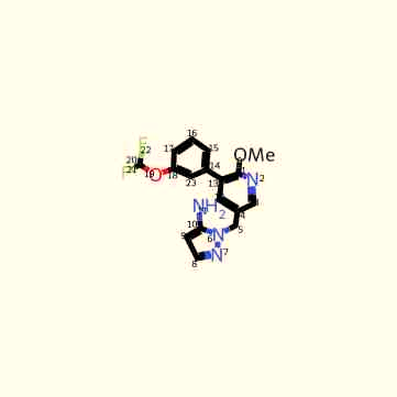 COc1ncc(Cn2nccc2N)cc1-c1cccc(OC(F)F)c1